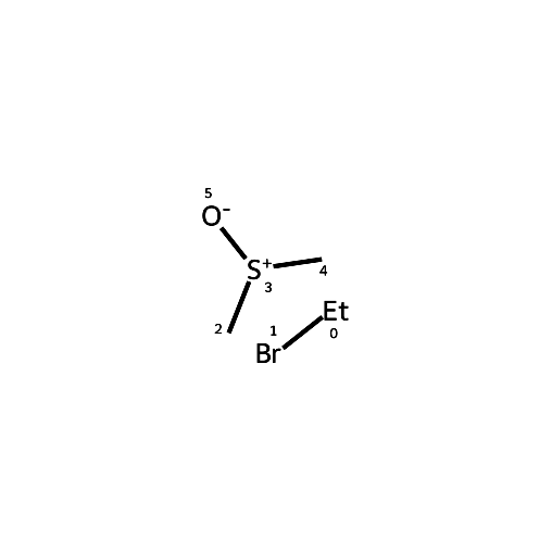 CCBr.C[S+](C)[O-]